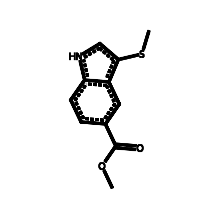 COC(=O)c1ccc2[nH]cc(SC)c2c1